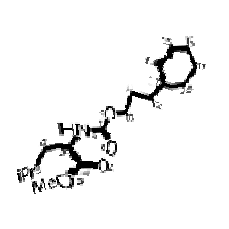 COC(=O)C(CC(C)C)NC(=O)OCCCC1CCCCC1